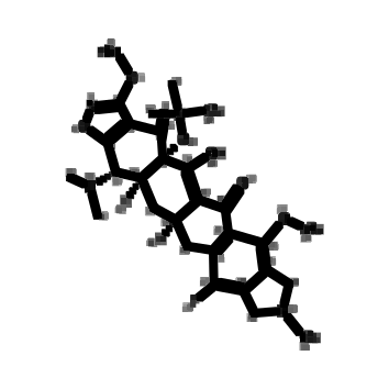 CCCCOc1noc2c1C(=O)[C@@]1(O[Si](C)(C)C(C)(C)C)C(O)=C3C(=O)c4c(c(F)c5c(c4OCCCC)CN(C(C)(C)C)C5)C[C@H]3C[C@H]1[C@@H]2N(C)C